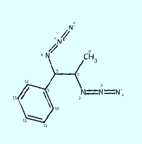 CC(N=[N+]=[N-])C(N=[N+]=[N-])c1ccccc1